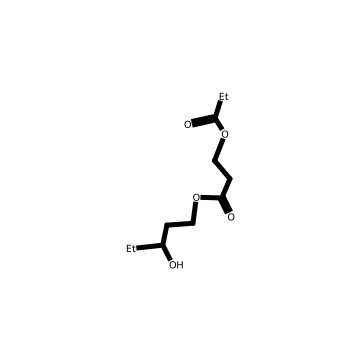 CCC(=O)OCCC(=O)OCCC(O)CC